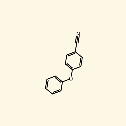 N#Cc1ccc(Oc2cc[c]cc2)cc1